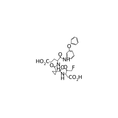 O=C(O)CCC(NC(=O)C1(C(=O)NC(CC(=O)O)C(=O)CF)CC1)C(=O)Nc1cccc(Oc2ccccc2)c1